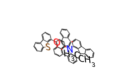 CC1(C)c2ccccc2-c2cccc(N(c3ccc(-c4cccc5c4sc4ccccc45)cc3)c3ccccc3-c3cccc4oc5c6ccccc6ccc5c34)c21